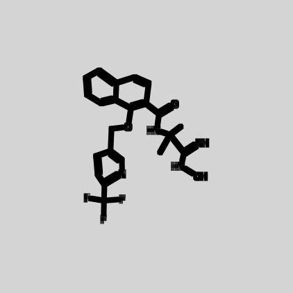 CC(C)(NC(=O)c1ccc2ccccc2c1OCc1ccc(C(F)(F)F)nc1)C(=N)NO